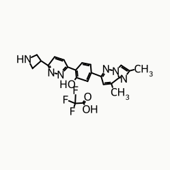 Cc1cn2nc(-c3ccc(-c4ccc(C5CNC5)nn4)c(O)c3)cc(C)c2n1.O=C(O)C(F)(F)F